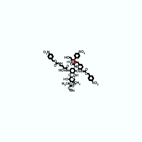 CN(C(=O)OC(C)(C)C)[C@@H]1[C@@H](O)[C@@H](O[C@@H]2[C@@H](O)[C@H](O[C@H]3OC(CNCC(O)CO)=CC[C@H]3NC(=O)OCc3ccc([N+](=O)[O-])cc3)[C@@H](NC(=O)OCc3ccc([N+](=O)[O-])cc3)C[C@H]2NC(=O)[C@H](O)CCNC(=O)OCc2ccc([N+](=O)[O-])cc2)OC[C@]1(C)O